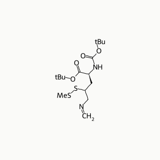 C=NCC(C[C@H](NC(=O)OC(C)(C)C)C(=O)OC(C)(C)C)SSC